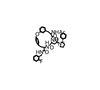 CC(=O)NC1Cc2cccc(c2)Oc2ccc(cc2)CC(C(=O)NCc2ccccc2F)NC(=O)C(CC(=O)N2CCC[C@@H]2c2ccccc2)NC1=O